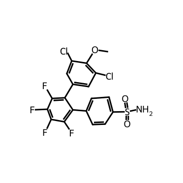 COc1c(Cl)cc(-c2c(F)c(F)c(F)c(F)c2-c2ccc(S(N)(=O)=O)cc2)cc1Cl